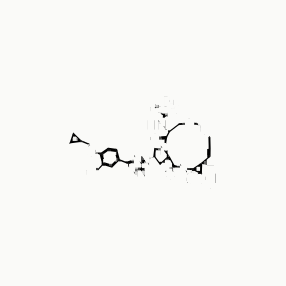 CC(C)(C)OC(=O)N[C@H]1CCCCC/C=C\[C@@H]2C[C@@]2(C(=O)O)NC(=O)[C@@H]2C[C@@H](n3nnc(-c4ccc(OCC5CC5)c(Cl)c4)n3)CN2C1=O